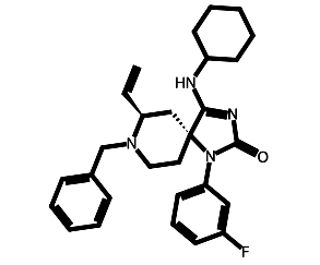 C=C[C@H]1C[C@]2(CCN1Cc1ccccc1)C(NC1CCCCC1)=NC(=O)N2c1cccc(F)c1